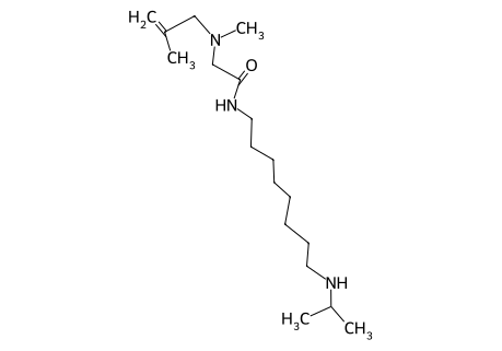 C=C(C)CN(C)CC(=O)NCCCCCCCCNC(C)C